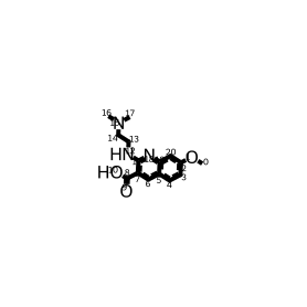 COc1ccc2cc(C(=O)O)c(NCCN(C)C)nc2c1